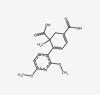 COc1ccc(C2=CC=C(C(=O)O)CC2(C)C(=O)O)c(OC)n1